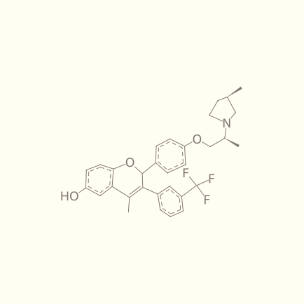 CC1=C(c2cccc(C(F)(F)F)c2)C(c2ccc(OC[C@H](C)N3CC[C@@H](C)C3)cc2)Oc2ccc(O)cc21